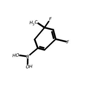 CC1(F)C=C(F)C=C(B(O)O)C1